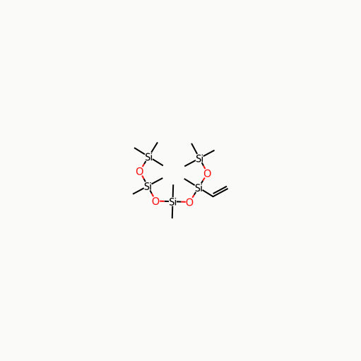 C=C[Si](C)(O[Si](C)(C)C)O[Si](C)(C)O[Si](C)(C)O[Si](C)(C)C